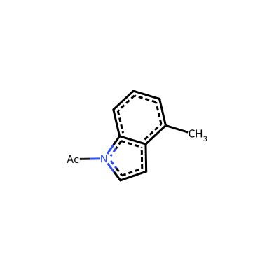 CC(=O)n1ccc2c(C)cccc21